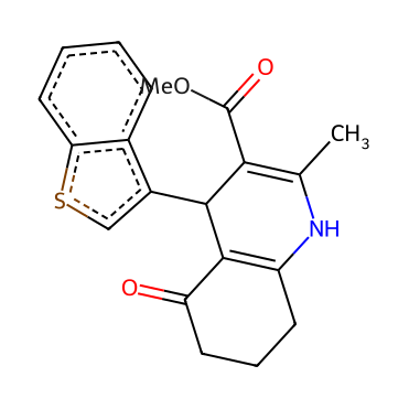 COC(=O)C1=C(C)NC2=C(C(=O)CCC2)C1c1csc2ccccc12